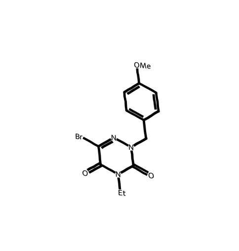 CCn1c(=O)c(Br)nn(Cc2ccc(OC)cc2)c1=O